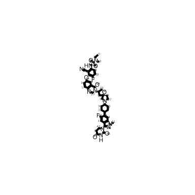 CCN(C)S(=O)(=O)Nc1ccc(F)c(Oc2ccc3ncn([C@H]4CO[C@@]5(CCN(C6CCC(c7cc8c(cc7F)c(N7CCC(=O)NC7=O)nn8C)CC6)C5)C4)c(=O)c3c2)c1C#N